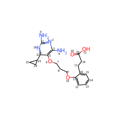 Nc1nc(N)c(OCCCOc2ccccc2CCC(=O)O)c(C2CC2)n1